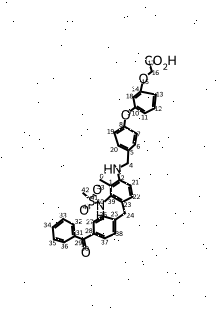 Cc1c(NCc2ccc(Oc3cccc(OCC(=O)O)c3)cc2)ccc(Cc2ccc(C(=O)c3ccccc3)cc2)c1NS(C)(=O)=O